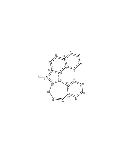 Cn1c2c(c3c4ccccc4ccc31)-c1ccccc1C=CC2